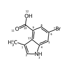 Cc1c[nH]c2cc(Br)cc(C(=O)O)c12